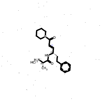 C[C@H](N)C(=O)N[C@H](/C=C/C(=O)N1CCCCC1)CCc1ccccc1.Cl